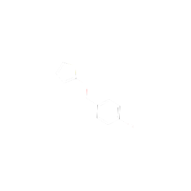 Brc1ccc(COc2cccs2)cc1